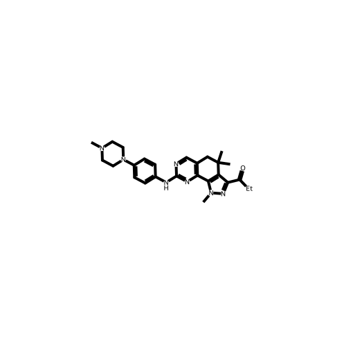 CCC(=O)c1nn(C)c2c1C(C)(C)Cc1cnc(Nc3ccc(N4CCN(C)CC4)cc3)nc1-2